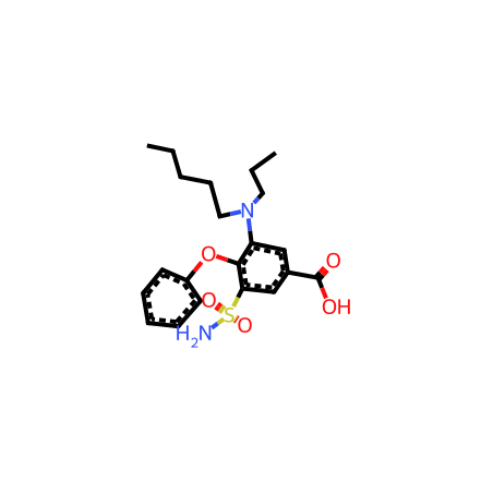 CCCCCN(CCC)c1cc(C(=O)O)cc(S(N)(=O)=O)c1Oc1ccccc1